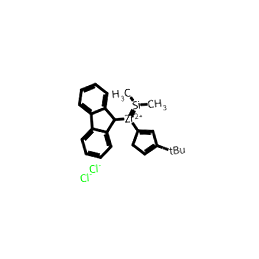 C[Si](C)=[Zr+2]([C]1=CC(C(C)(C)C)=CC1)[CH]1c2ccccc2-c2ccccc21.[Cl-].[Cl-]